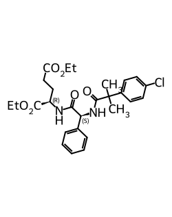 CCOC(=O)CC[C@@H](NC(=O)[C@@H](NC(=O)C(C)(C)c1ccc(Cl)cc1)c1ccccc1)C(=O)OCC